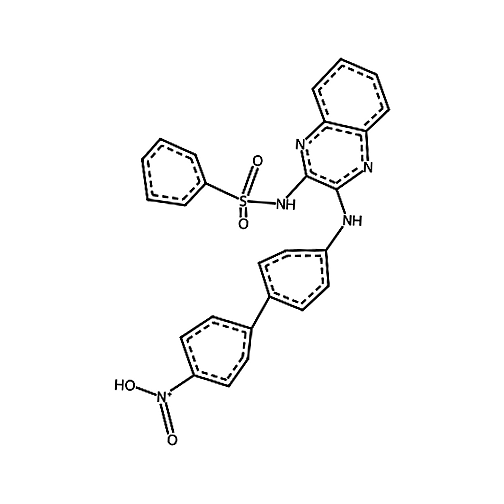 O=[N+](O)c1ccc(-c2ccc(Nc3nc4ccccc4nc3NS(=O)(=O)c3ccccc3)cc2)cc1